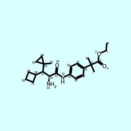 CCOC(=O)C(C)(C)c1ccc(NC(=O)[C@@H](N)C(C2CCC2)C2(C)CC2)cc1